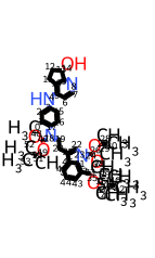 Cc1cc(Nc2ccnc3c2CCC3O)ccc1N(CCc1cn(C(=O)OC(C)(C)C)c2c(C(C)O[Si](C)(C)C(C)(C)C)cccc12)C(=O)OC(C)(C)C